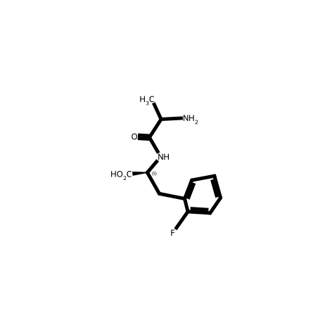 CC(N)C(=O)N[C@@H](Cc1ccccc1F)C(=O)O